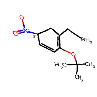 BCC1=C(OC(C)(C)C)C=C[C@@H]([N+](=O)[O-])C1